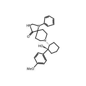 COc1ccc([C@@]2(O)CCCC[C@H]2N2CCC3(CC2)C(=O)NCN3c2ccccc2)cc1